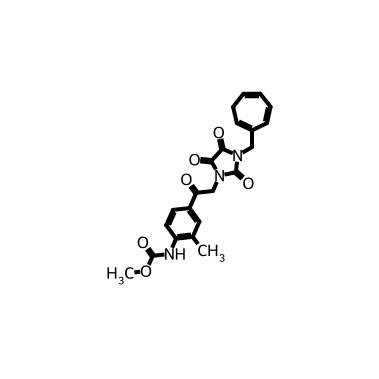 COC(=O)Nc1ccc(C(=O)CN2C(=O)C(=O)N(CC3=CCC=CC=C3)C2=O)cc1C